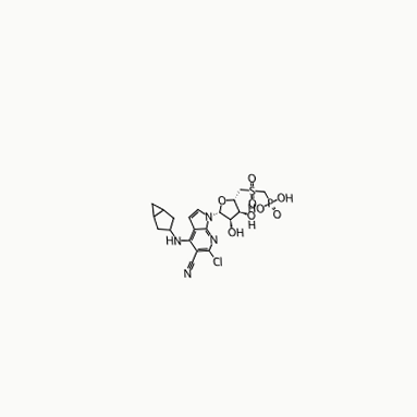 N#Cc1c(Cl)nc2c(ccn2[C@@H]2O[C@H](CS(=O)(=O)CP(=O)(O)O)[C@@H](O)[C@H]2O)c1NC1CC2CC2C1